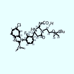 CN(C)c1nc2ccc(Cl)cc2n1-c1cccc([C@]2(C)CC(=O)N(CCO[Si](C)(C)C(C)(C)C)/C(=N\C(=O)O)N2)c1F